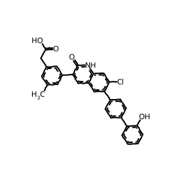 Cc1cc(CC(=O)O)cc(-c2cc3cc(-c4ccc(-c5ccccc5O)cc4)c(Cl)cc3[nH]c2=O)c1